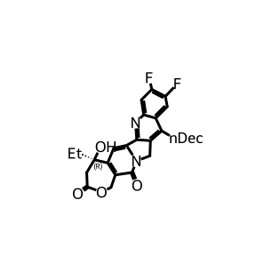 CCCCCCCCCCc1c2c(nc3cc(F)c(F)cc13)-c1cc3c(c(=O)n1C2)COC(=O)C[C@]3(O)CC